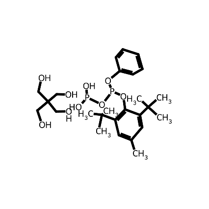 Cc1cc(C(C)(C)C)c(OP(Oc2ccccc2)OP(O)O)c(C(C)(C)C)c1.OCC(CO)(CO)CO